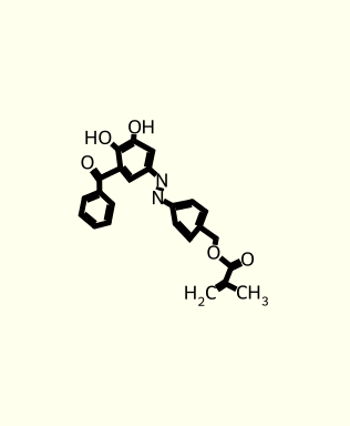 C=C(C)C(=O)OCc1ccc(N=Nc2cc(O)c(O)c(C(=O)c3ccccc3)c2)cc1